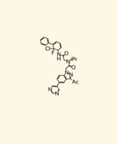 CC(=O)c1nn(CC(=O)N(CC(=O)NC2C=CC=C(c3ccccc3)C2(F)Cl)C(C)C)c2ccc(-c3cncnc3)cc12